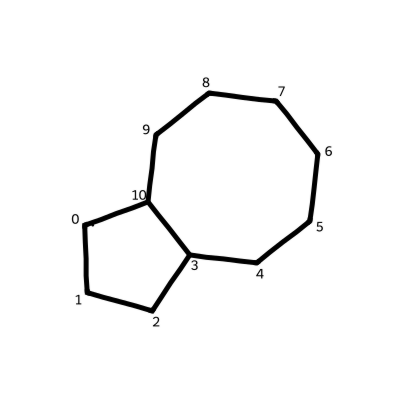 [CH]1CCC2CCCCCCC12